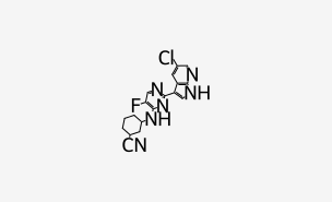 N#CC1CCCC(Nc2nc(-c3c[nH]c4ncc(Cl)cc34)ncc2F)C1